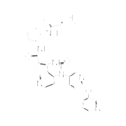 C=CC(=O)N[C@H]1CCC[C@H]1NC(=O)c1sc2nccc3c2c1NC(=O)N3c1ccc(Oc2cccnc2)nc1